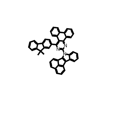 CC1(C)c2ccccc2-c2ccc(-c3nc(-n4c5c(c6ccccc64)-c4cccc6cccc-5c46)nc4c5ccccc5c5ccccc5c34)cc21